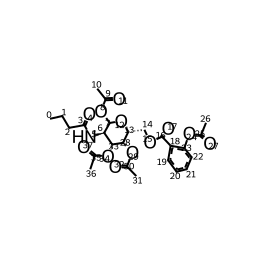 CCCC(=O)N[C@H]1C(OC(C)=O)O[C@H](COC(=O)c2ccccc2OC(C)=O)[C@@H](OC(C)=O)[C@@H]1OC(C)=O